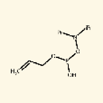 C=CCOP(O)ON(C(C)C)C(C)C